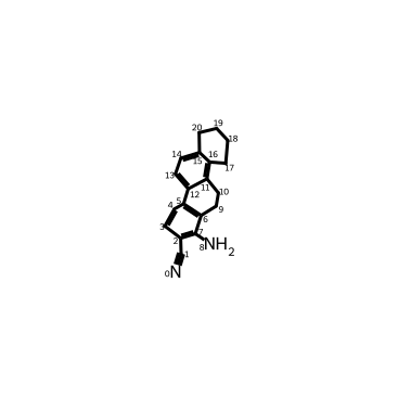 N#Cc1ccc2c(c1N)CCc1c-2ccc2c1CCCC2